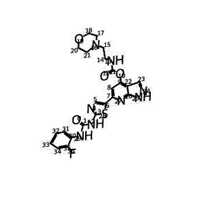 O=C(Nc1ncc(-c2cc(OC(=O)NCCN3CCOCC3)c3cn[nH]c3n2)s1)Nc1ccccc1F